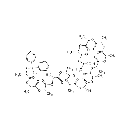 C[C@H](OC(=O)[C@H](C)OC(=O)[C@H](C)OC(=O)[C@H](C)OC(=O)[C@H](C)OC(=O)[C@H](C)OC(=O)[C@H](C)OC(=O)[C@H](C)OC(=O)[C@H](C)OC(=O)[C@H](C)OC(=O)[C@H](C)OC(=O)[C@H](C)OC(=O)[C@H](C)OC(=O)[C@H](C)O[Si](c1ccccc1)(c1ccccc1)C(C)(C)C)C(=O)O